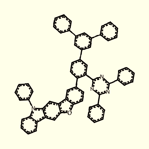 c1ccc(-c2cc(-c3ccccc3)cc(-c3ccc(-c4ccc5oc6cc7c8ccccc8n(-c8ccccc8)c7cc6c5c4)c(-c4nc(-c5ccccc5)nc(-c5ccccc5)n4)c3)c2)cc1